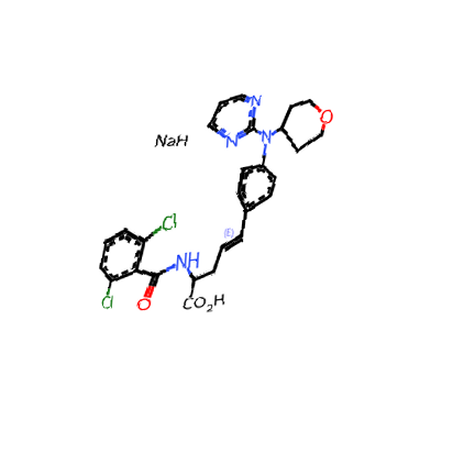 O=C(NC(C/C=C/c1ccc(N(c2ncccn2)C2CCOCC2)cc1)C(=O)O)c1c(Cl)cccc1Cl.[NaH]